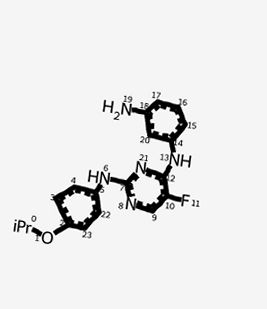 CC(C)Oc1ccc(Nc2ncc(F)c(Nc3cccc(N)c3)n2)cc1